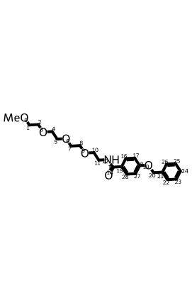 COCCOCCOCCOCCNC(=O)c1ccc(OCc2ccccc2)cc1